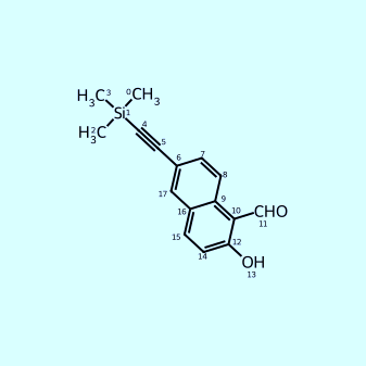 C[Si](C)(C)C#Cc1ccc2c(C=O)c(O)ccc2c1